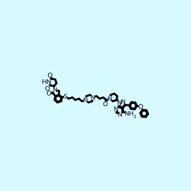 Nc1ncnc2c1c(-c1ccc(Oc3ccccc3)cc1)nn2[C@@H]1CCCN(C(=O)CCCN2CCN(CCCCCSc3cccc4c3CN(C3CCC(=O)NC3=O)C4=O)CC2)C1